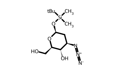 CC(C)(C)[Si](C)(C)O[C@H]1C[C@@H](N=[N+]=[N-])[C@H](O)[C@@H](CO)O1